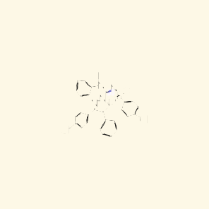 O=S(=O)(/N=C(/Nc1ccccc1)N1CC(c2ccccc2)C(c2ccc(Cl)cc2)=N1)c1ccc(Cl)cc1